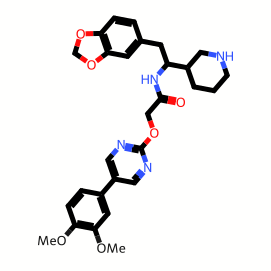 COc1ccc(-c2cnc(OCC(=O)NC(Cc3ccc4c(c3)OCO4)C3CCCNC3)nc2)cc1OC